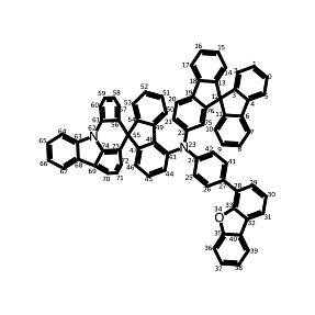 c1ccc2c(c1)-c1ccccc1C21c2ccccc2-c2ccc(N(c3ccc(-c4cccc5c4oc4ccccc45)cc3)c3cccc4c3-c3ccccc3C43c4ccccc4-n4c5ccccc5c5cccc3c54)cc21